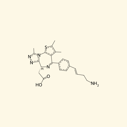 Cc1sc2c(c1C)C(c1ccc(C=CCCN)cc1)=N[C@H](CC(=O)O)c1nnc(C)n1-2